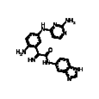 N=C(C(=O)Nc1ccc2[nH]cnc2c1)c1cc(Nc2ccnc(N)n2)ccc1N